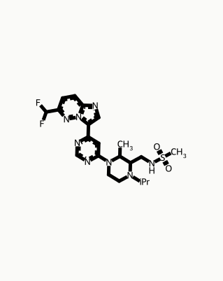 CC1C(CNS(C)(=O)=O)N(C(C)C)CCN1c1cc(-c2cnc3ccc(C(F)F)nn23)ncn1